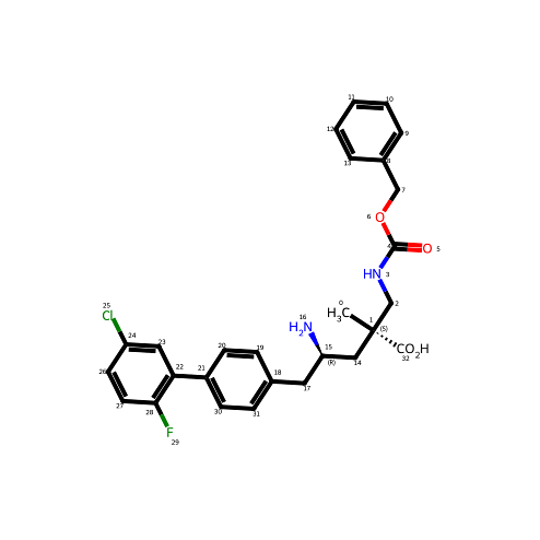 C[C@@](CNC(=O)OCc1ccccc1)(C[C@H](N)Cc1ccc(-c2cc(Cl)ccc2F)cc1)C(=O)O